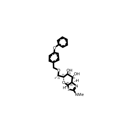 CNC1=N[C@@H]2[C@@H](O)[C@H](O)[C@@H]([C@H](C)OCc3ccc(Oc4ccccc4)cc3)O[C@@H]2S1